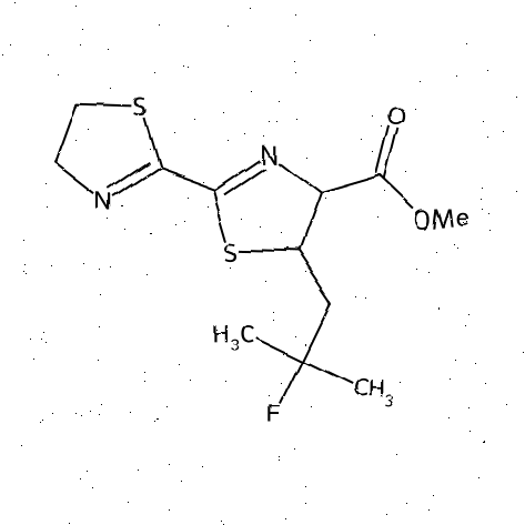 COC(=O)C1N=C(C2=NCCS2)SC1CC(C)(C)F